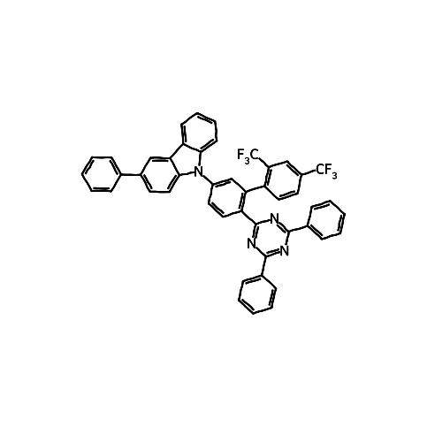 FC(F)(F)c1ccc(-c2cc(-n3c4ccccc4c4cc(-c5ccccc5)ccc43)ccc2-c2nc(-c3ccccc3)nc(-c3ccccc3)n2)c(C(F)(F)F)c1